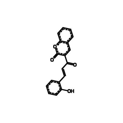 O=C(/C=C/c1ccccc1O)c1cc2ccccc2oc1=O